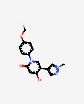 Cn1cc(-c2cn(-c3ccc(OCF)cc3)c(=O)cc2O)cn1